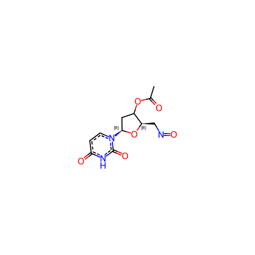 CC(=O)OC1C[C@H](n2ccc(=O)[nH]c2=O)O[C@@H]1CN=O